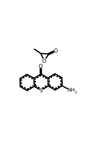 CC1OC1=O.Nc1ccc2c(=O)c3ccccc3sc2c1